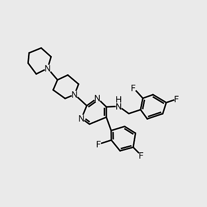 Fc1ccc(CNc2nc(N3CCC(N4CCCCC4)CC3)ncc2-c2ccc(F)cc2F)c(F)c1